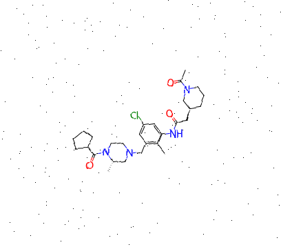 CC(=O)N1CCC[C@@H](CC(=O)Nc2cc(Cl)cc(CN3CCN(C(=O)C4CCCC4)[C@@H](C)C3)c2C)C1